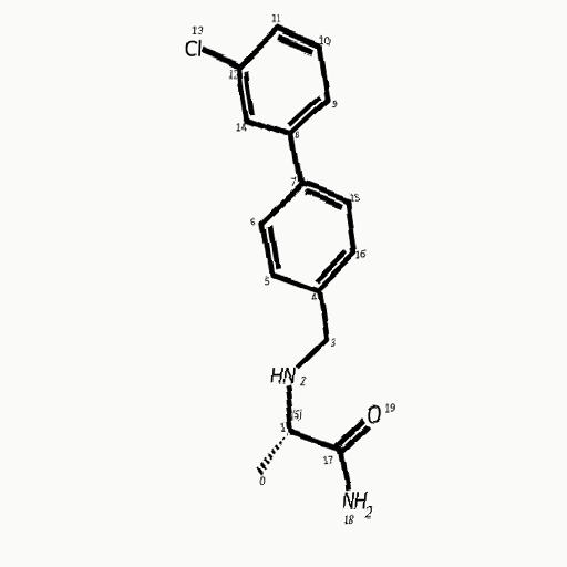 C[C@H](NCc1ccc(-c2cccc(Cl)c2)cc1)C(N)=O